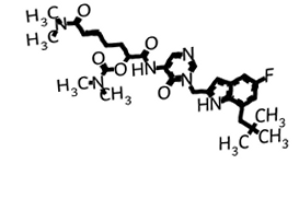 CN(C)C(=O)/C=C/CCC(OC(=O)N(C)C)C(=O)Nc1cncn(Cc2cc3cc(F)cc(CC(C)(C)C)c3[nH]2)c1=O